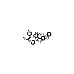 CN1CCC(C=C(C#N)CN2CCCC(n3nc(-c4ccc(Oc5ccccc5)cc4F)c4c(N)ncnc43)C2)CC1